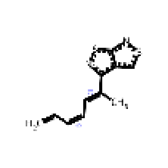 C=C/C=C\C=C(/C)c1nsc2nscc12